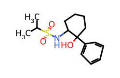 CC(C)S(=O)(=O)NC1CCCCC1(O)c1ccccc1